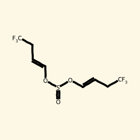 O=S(OC=CCC(F)(F)F)OC=CCC(F)(F)F